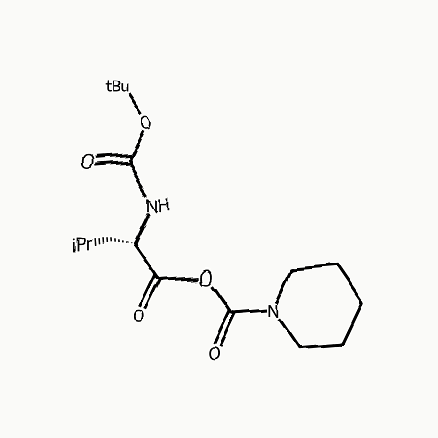 CC(C)[C@H](NC(=O)OC(C)(C)C)C(=O)OC(=O)N1CCCCC1